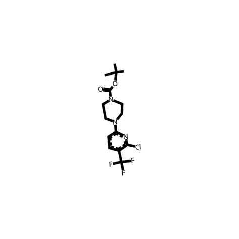 CC(C)(C)OC(=O)N1CCN(c2ccc(C(F)(F)F)c(Cl)n2)CC1